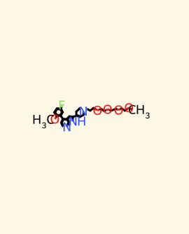 COCCOCCOCCOCCCN1CC=C(c2cc3c(-c4cc(F)ccc4OC)ccnc3[nH]2)CC1